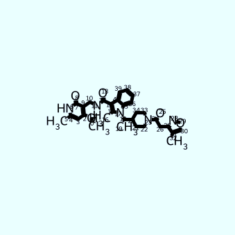 COc1cc(C)[nH]c(=O)c1CNC(=O)c1c(C)n([C@H](C)C2CCN(C(=O)Cc3nocc3C)CC2)c2ccccc12